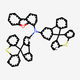 c1ccc2c(c1)Sc1ccccc1C21c2ccccc2-c2cc(N(c3ccc4c(c3)-c3ccccc3C43c4ccccc4Sc4ccccc43)c3cccc4c3oc3ccccc34)ccc21